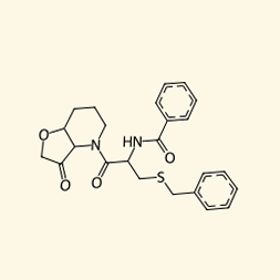 O=C(NC(CSCc1ccccc1)C(=O)N1CCCC2OCC(=O)C21)c1ccccc1